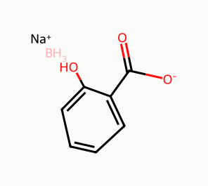 B.O=C([O-])c1ccccc1O.[Na+]